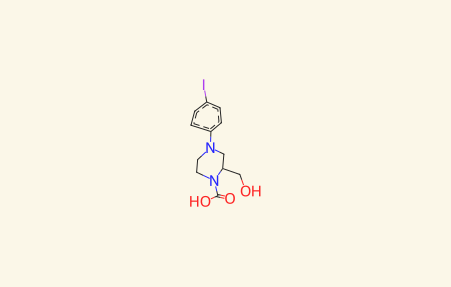 O=C(O)N1CCN(c2ccc(I)cc2)CC1CO